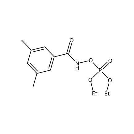 CCOP(=O)(OCC)ONC(=O)c1cc(C)cc(C)c1